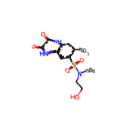 CCCCN(CCO)S(=O)(=O)c1cc2[nH]c(=O)c(=O)[nH]c2cc1[N+](=O)[O-]